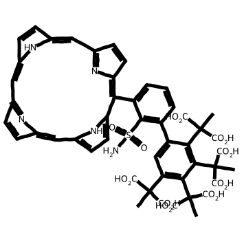 CC(C(=O)O)(C(=O)O)c1cc(-c2cccc(-c3c4nc(cc5ccc(cc6nc(cc7ccc3[nH]7)C=C6)[nH]5)C=C4)c2S(N)(=O)=O)c(C(C)(C(=O)O)C(=O)O)c(C(C)(C(=O)O)C(=O)O)c1C(C)(C(=O)O)C(=O)O